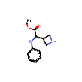 CC(C)(C)OC(=O)C(Nc1ccccc1)C1CNC1